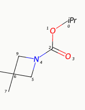 CC(C)OC(=O)N1CC(C)(C)C1